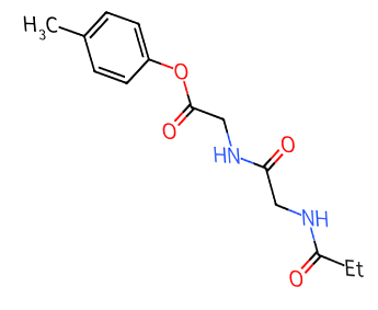 CCC(=O)NCC(=O)NCC(=O)Oc1ccc(C)cc1